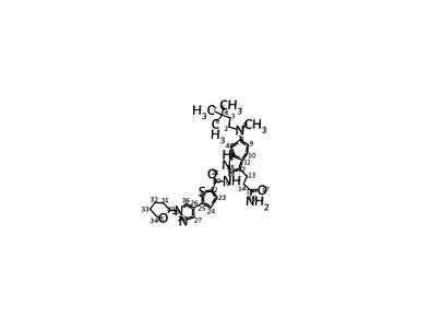 CN(CCC(C)(C)C)c1ccc2c(CCC(N)=O)c(NC(=O)c3ccc(-c4cnn(C5CCCCO5)c4)s3)[nH]c2c1